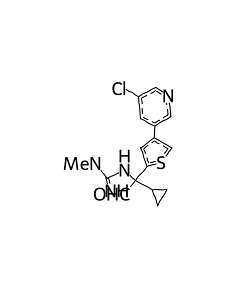 CNC(=N)NC(C=O)(c1cc(-c2cncc(Cl)c2)cs1)C1CC1